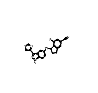 N#Cc1cc(F)c2c(c1)CCC2Nc1ccc2[nH]nc(-c3cnco3)c2c1